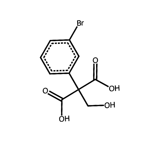 O=C(O)C(CO)(C(=O)O)c1cccc(Br)c1